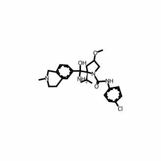 COC1CN(C(=O)Nc2ccc(Cl)cc2)[C@](C(C)C)(C(N)(O)c2ccc3c(c2)CCN(C)C3)C1